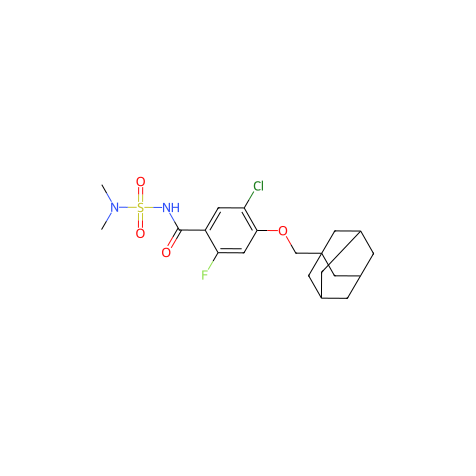 CN(C)S(=O)(=O)NC(=O)c1cc(Cl)c(OCC23CC4CC(CC(C4)C2)C3)cc1F